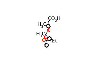 CCc1ccc(OC(C)CCOc2ccc(CCC(=O)O)c(C)c2)c(C(=O)c2ccccc2)c1